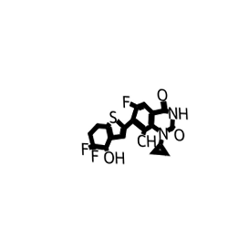 Cc1c(-c2cc3c(s2)CCC(F)(F)C3O)c(F)cc2c(=O)[nH]c(=O)n(C3CC3)c12